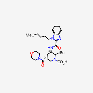 COCCCCn1c(C(=O)N[C@H]2C[C@@H](C(=O)N3CCOCC3)CN(C(=O)O)C2C(C)(C)C)nc2ccccc21